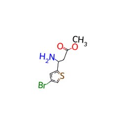 COC(=O)CC(N)c1cc(Br)cs1